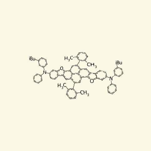 CCC(C)c1cccc(N(c2ccccc2)c2ccc3c(c2)oc2c3cc3c(-c4c(C)cccc4C)cc4c5oc6cc(N(c7ccccc7)c7cccc(C(C)CC)c7)ccc6c5cc5c(-c6c(C)cccc6C)cc2c3c54)c1